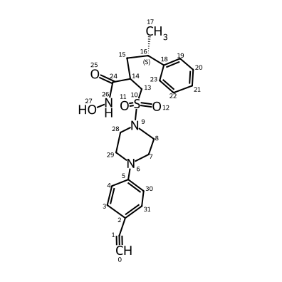 C#Cc1ccc(N2CCN(S(=O)(=O)CC(C[C@H](C)c3ccccc3)C(=O)NO)CC2)cc1